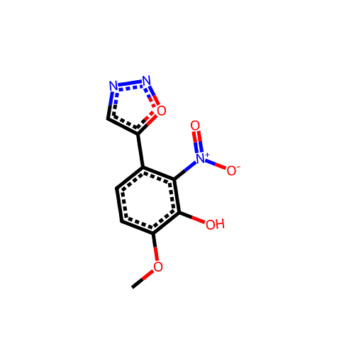 COc1ccc(-c2cnno2)c([N+](=O)[O-])c1O